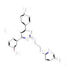 O=C(O)c1c(-c2ccc([N+](=O)[O-])cc2)nc(NCCNc2ccc([N+](=O)[O-])cn2)nc1-c1cccc(O)c1